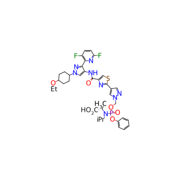 CCOC1CCC(n2cc(NC(=O)c3csc(-c4cnn(COP(=O)(Oc5ccccc5)N(C(C)C)[C@@H](C)C(=O)O)c4)n3)c(-c3nc(F)ccc3F)n2)CC1